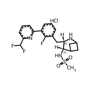 CS(=O)(=O)N[C@H]1C2CC(C2)N[C@H]1Cc1cccc(-c2cccc(C(F)F)n2)c1F.Cl